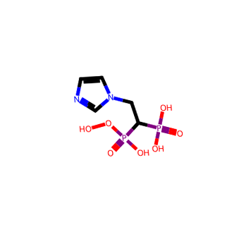 O=P(O)(O)C(Cn1ccnc1)P(=O)(O)OO